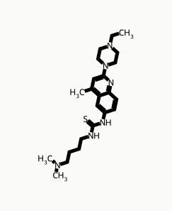 CCN1CCN(c2cc(C)c3cc(NC(=S)NCCCCN(C)C)ccc3n2)CC1